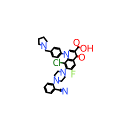 N#Cc1ccccc1N1CCN(c2c(F)cc3c(=O)c(C(=O)O)cn(-c4ccc(CN5CCCC5)cc4)c3c2Cl)CC1